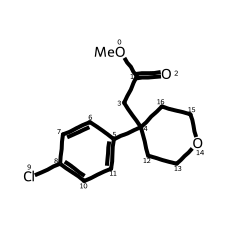 COC(=O)CC1(c2ccc(Cl)cc2)CCOCC1